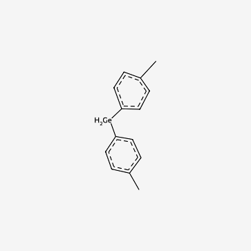 Cc1cc[c]([GeH2][c]2ccc(C)cc2)cc1